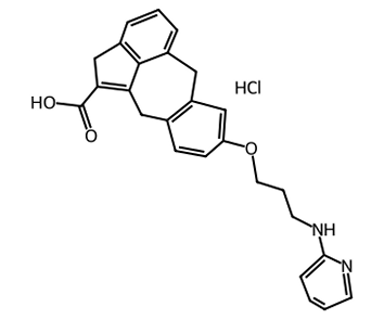 Cl.O=C(O)C1=C2Cc3ccc(OCCCNc4ccccn4)cc3Cc3cccc(c32)C1